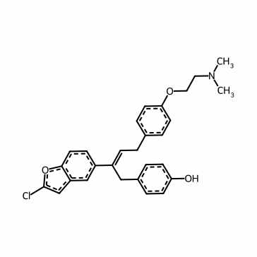 CN(C)CCOc1ccc(CC=C(Cc2ccc(O)cc2)c2ccc3oc(Cl)cc3c2)cc1